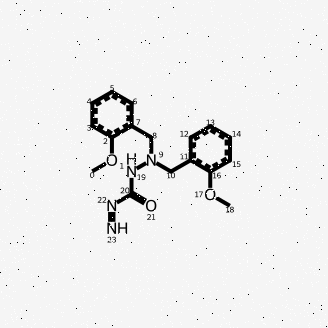 COc1ccccc1CN(Cc1ccccc1OC)NC(=O)N=N